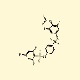 CCc1cc(F)c(C(F)(F)Oc2ccc(C(F)(F)Oc3cc(F)c(OC(F)F)c(F)c3)cc2)c(F)c1